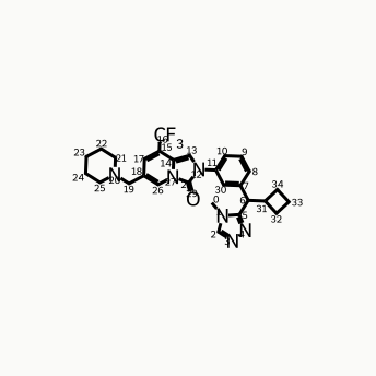 Cn1cnnc1C(c1cccc(-n2cc3c(C(F)(F)F)cc(CN4CCCCC4)cn3c2=O)c1)C1CCC1